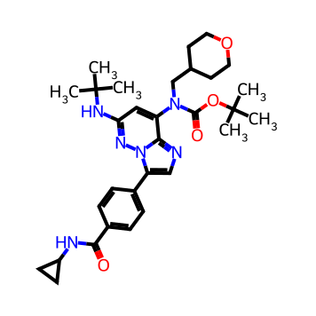 CC(C)(C)Nc1cc(N(CC2CCOCC2)C(=O)OC(C)(C)C)c2ncc(-c3ccc(C(=O)NC4CC4)cc3)n2n1